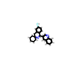 Fc1ccc2c(c1)CC1(CCCCC1)N=C2c1cnc2ccccc2c1